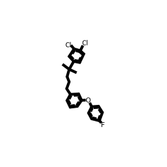 CC(C)(CCCc1cccc(Oc2ccc(F)cc2)c1)c1ccc(Cl)c(Cl)c1